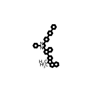 CC1(C)c2cc(-c3ccc(-c4cc(-c5ccc(-c6ccc(-c7ccccc7)cc6)cc5)nc(-c5ccccc5)n4)c4ccccc34)ccc2-c2c1ccc1ccccc21